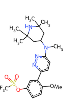 COc1ccc(OS(=O)(=O)C(F)(F)F)cc1-c1ccc(N(C)C2CC(C)(C)NC(C)(C)C2)nn1